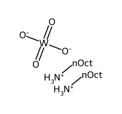 CCCCCCCC[NH3+].CCCCCCCC[NH3+].[O]=[W](=[O])([O-])[O-]